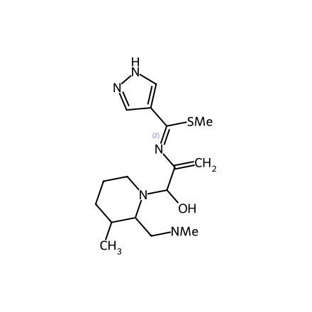 C=C(/N=C(\SC)c1cn[nH]c1)C(O)N1CCCC(C)C1CNC